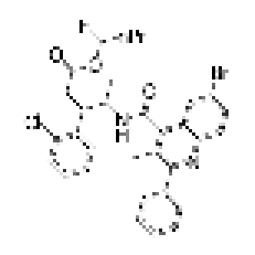 CCCC(F)OC(=O)CC(c1ccccc1Cl)C(C)NC(=O)c1c(C)c(-c2ccccc2)nc2ccc(Br)cc12